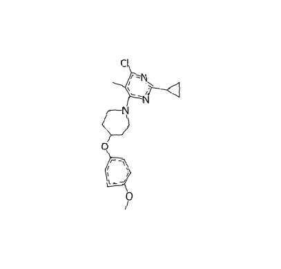 COc1ccc(OC2CCN(c3nc(C4CC4)nc(Cl)c3C)CC2)cc1